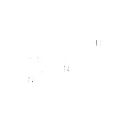 [2H]C1CCN(Cc2nccs2)CC1